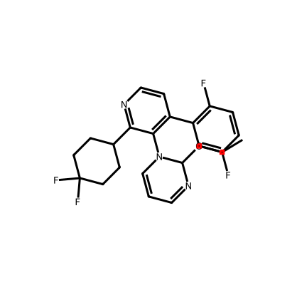 CCOC1N=CC=CN1c1c(-c2cc(F)ccc2F)ccnc1C1CCC(F)(F)CC1